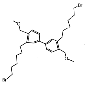 COCc1ccc(-c2ccc(COC)c(CCCCCCBr)c2)cc1CCCCCCBr